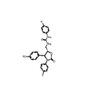 O=C(NC[C@H]1OC(=O)N(c2ccc(F)cc2)C1c1ccc(O)cc1)Nc1ccc(F)cc1